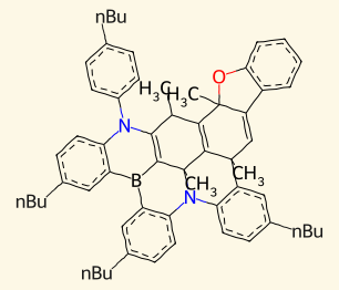 CCCCc1ccc(N2C3=C4B(c5cc(CCCC)ccc52)c2cc(CCCC)ccc2N2c5ccc(CCCC)cc5C5(C)C=C6c7ccccc7OC6(C)C(=C5C42C)C3C)cc1